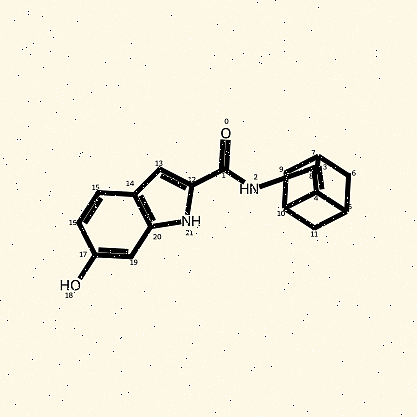 O=C(NC1=C2C3CC(C1)CC2C3)c1cc2ccc(O)cc2[nH]1